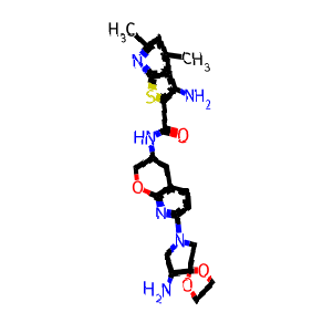 Cc1cc(C)c2c(N)c(C(=O)NC3COc4nc(N5CC(N)C6(C5)OCCO6)ccc4C3)sc2n1